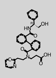 O=C(O)CCN(CCc1ccccn1)C(=O)c1ccccc1-c1ccccc1C(=O)N[C@@H](CO)c1ccccc1